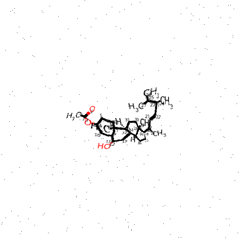 CC(=O)OC1CC[C@@]2(C)C(C1)C(O)C=C1[C@@H]3CC[C@H]([C@H](C)C=C[C@H](C)C(C)C)[C@@]3(C)CC[C@@H]12